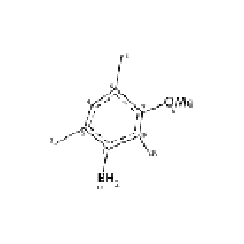 Bc1c(C)cc(C)c(OC)c1C